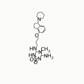 CN1C(N)=NS(=O)(=O)NC1NCCCOc1cccc2c1CCC2N1CCCCC1